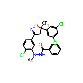 CC(=O)N(NC(=O)c1ccccc1)c1cc(C2=NOC(c3cc(Cl)cc(Cl)c3)(C(F)(F)F)C2)ccc1Cl